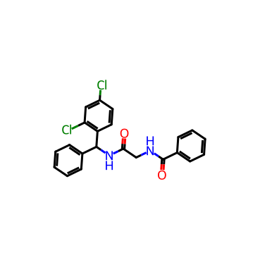 O=C(CNC(=O)c1ccccc1)NC(c1ccccc1)c1ccc(Cl)cc1Cl